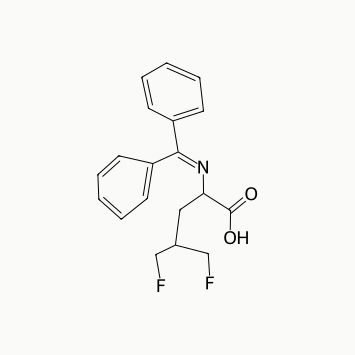 O=C(O)C(CC(CF)CF)N=C(c1ccccc1)c1ccccc1